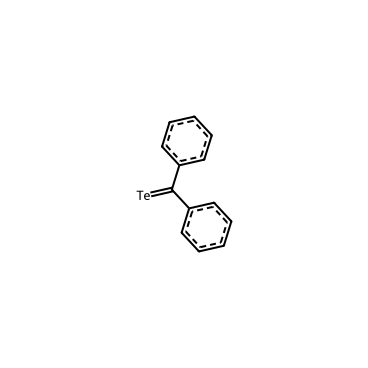 [Te]=C(c1ccccc1)c1ccccc1